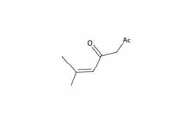 CC(=O)CC(=O)C=C(C)C